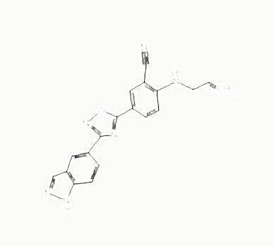 C=CCNc1ccc(-c2nc(-c3ccc4[nH]ncc4c3)no2)cc1C#N